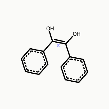 O/C(=C(\O)c1ccccc1)c1ccccc1